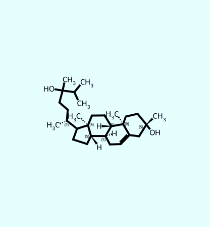 CC(C)C(C)(O)CC[C@@H](C)C1CC[C@H]2[C@@H]3CC=C4C[C@@](C)(O)CC[C@]4(C)[C@H]3CC[C@]12C